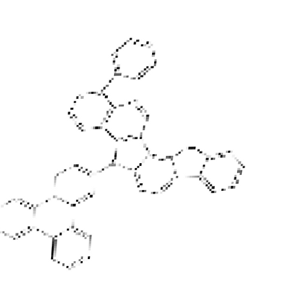 c1ccc2c(c1)-c1cccc3c1c-2cc1c2c4oc5ccccc5c4ccc2n(-c2ccc4c5ccccc5c5ccccc5c4c2)c31